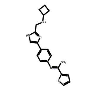 N/C(=N\c1ccc(-c2c[nH]c(CNC3CCC3)n2)cc1)c1cccs1